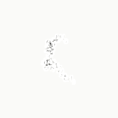 CCCCCCc1ccc(N2C(=O)CC[C@@H]2C=CCc2ccc(C(=O)OCCC)s2)cc1